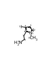 Cn1ncc(I)c1CCN